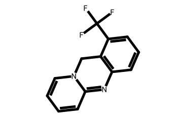 FC(F)(F)c1cccc2c1CN1C=CC=CC1=N2